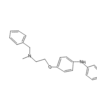 CN(CCOc1ccc(Nc2ccccc2)cc1)Cc1ccccc1